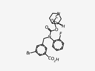 O=C(O)c1cc(Br)cc(CN(C(=O)O[C@H]2CN3CCC2CC3)c2ccccc2F)c1